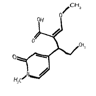 CCC(C(=COC)C(=O)O)c1ccn(C)c(=O)c1